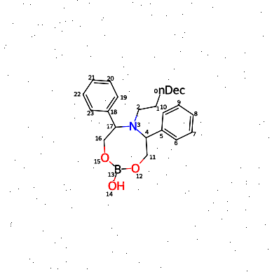 CCCCCCCCCCCCN1C(c2ccccc2)COB(O)OCC1c1ccccc1